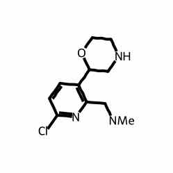 CNCc1nc(Cl)ccc1C1CNCCO1